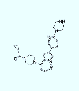 O=C(C1CC1)N1CCN(c2ccnn3cc(-c4ccc(N5CCNCC5)nc4)cc23)CC1